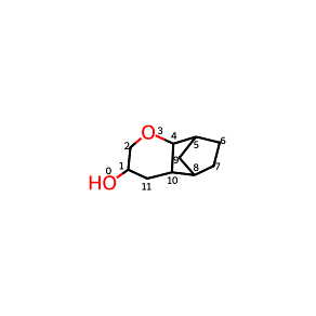 OC1COC2C3CCC(C3)C2C1